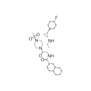 CS(=O)(=O)N1CCN(C(=O)[C@H](CCN[C@@H]2C[C@H]2c2ccc(F)cc2)NC(=O)c2ccc3ccccc3c2)CC1